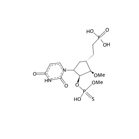 CO[C@@H]1[C@@H](CCP(=O)(O)O)CC(n2ccc(=O)[nH]c2=O)[C@@H]1OP(O)(=S)OC